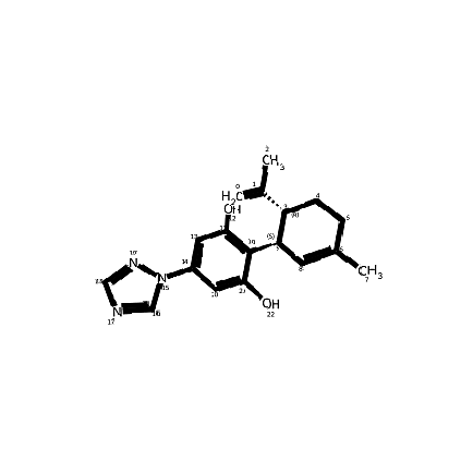 C=C(C)[C@@H]1CCC(C)=C[C@H]1c1c(O)cc(-n2cncn2)cc1O